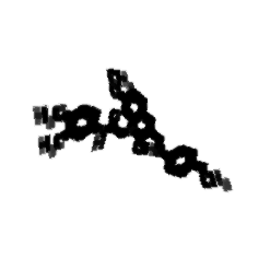 CCc1ccc(NCc2cc3ccc(OC)cc3n(CC(=O)Nc3ccc(C)c(C)c3)c2=O)cc1